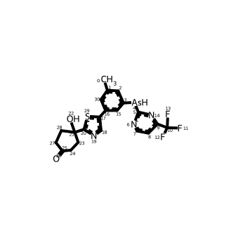 Cc1cc([AsH]c2nccc(C(F)(F)F)n2)cc(-c2cnc(C3(O)CCC(=O)CC3)s2)c1